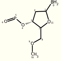 BC1C[C@@H](OP=O)C(COC)O1